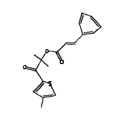 Cc1csc(C(=O)C(C)(C)OC(=O)C=Cc2ccccc2)c1